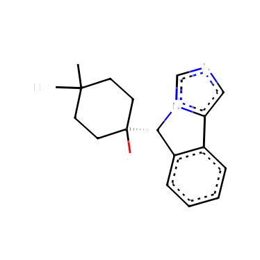 CC1(C)CCC(O)([C@H]2c3ccccc3-c3cncn32)CC1